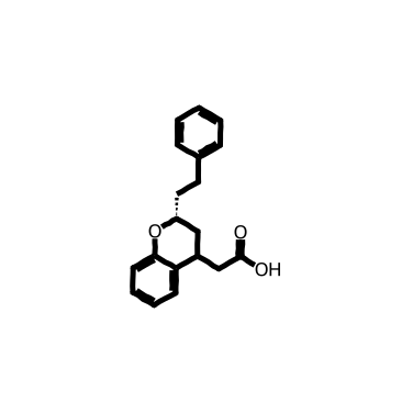 O=C(O)CC1C[C@@H](CCc2ccccc2)Oc2ccccc21